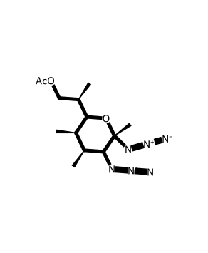 CC(=O)OC[C@@H](C)C1O[C@](C)(N=[N+]=[N-])C(N=[N+]=[N-])[C@@H](C)[C@H]1C